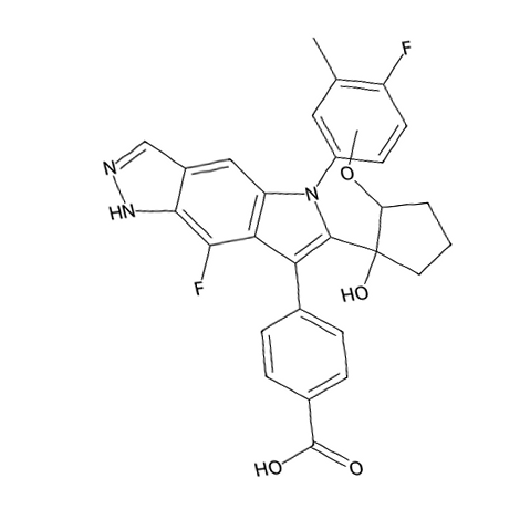 COC1CCCC1(O)c1c(-c2ccc(C(=O)O)cc2)c2c(F)c3[nH]ncc3cc2n1-c1ccc(F)c(C)c1